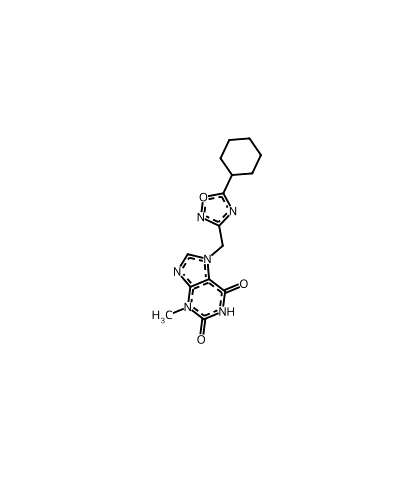 Cn1c(=O)[nH]c(=O)c2c1ncn2Cc1noc(C2CCCCC2)n1